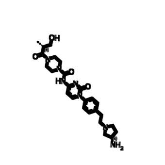 C[C@H](CO)C(=O)N1CCN(C(=O)Nc2ccn(-c3ccc(CCN4CC[C@@H](N)C4)cc3)c(=O)n2)CC1